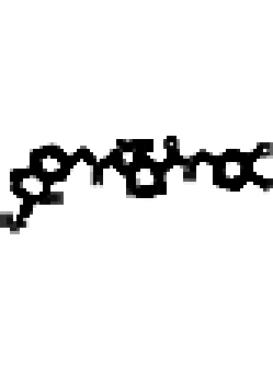 C=C1COc2ccc(CNc3n[nH]c4c(C(=O)NCc5ccc(F)c(Cl)c5)ncnc34)cc2N1